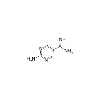 N=C(N)c1cnc(N)nc1